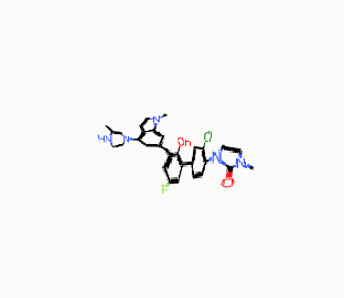 CC1=CN(c2cc(-c3cc(F)cc(-c4ccc(-n5ccn(C)c5=O)c(Cl)c4)c3O)cc3c2ccn3C)CCN1